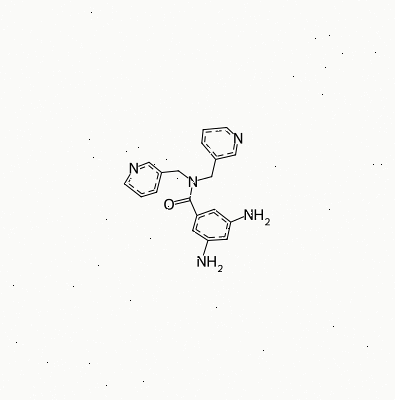 Nc1cc(N)cc(C(=O)N(Cc2cccnc2)Cc2cccnc2)c1